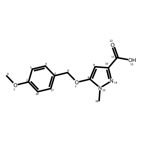 COc1ccc(COc2cc(C(=O)O)nn2C)cc1